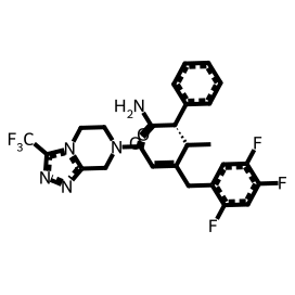 CC(/C(=C\C(=O)N1CCn2c(nnc2C(F)(F)F)C1)Cc1cc(F)c(F)cc1F)[C@H](C(N)=O)c1ccccc1